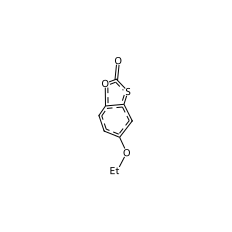 CCOc1ccc2oc(=O)sc2c1